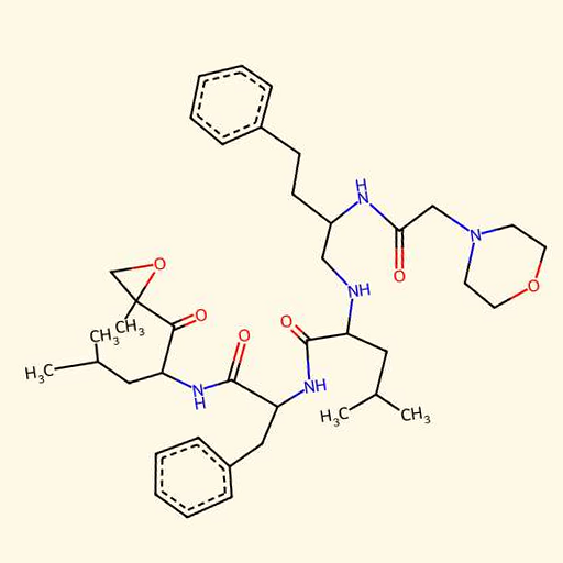 CC(C)CC(NCC(CCc1ccccc1)NC(=O)CN1CCOCC1)C(=O)NC(Cc1ccccc1)C(=O)NC(CC(C)C)C(=O)C1(C)CO1